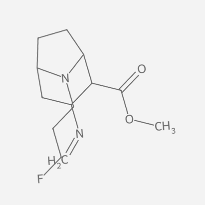 C=NC1CC2CCC(C1C(=O)OC)N2CCCF